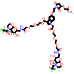 CC(=O)CSC1CC(=O)N(CCOc2ccc3c(c2)c(C(=O)OCCOCCOCC(=O)NCC2OC4OCCN(C(=O)C(F)(F)F)[C@@H]4[C@@H](O)[C@H]2O)cn3CC(=O)OCCOCCOCC(=O)NCC2OC3OCCN(C(=O)C(F)(F)F)[C@@H]3[C@@H](O)[C@H]2O)C1=O